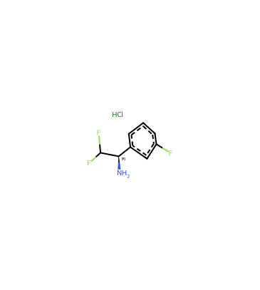 Cl.N[C@H](c1cccc(F)c1)C(F)F